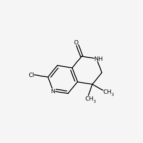 CC1(C)CNC(=O)c2cc(Cl)ncc21